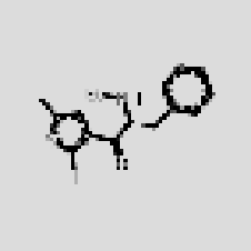 CCN[C@@H](Cc1ccccc1)C(=O)c1cc(I)sc1I